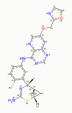 C[C@]1(c2cc(Nc3ncnc4cc(OCc5ncco5)cnc34)ccc2F)N=C(N)S[C@H]2C[C@H]21